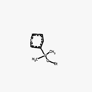 CCO[Si](C)(C)c1cc[c]cc1